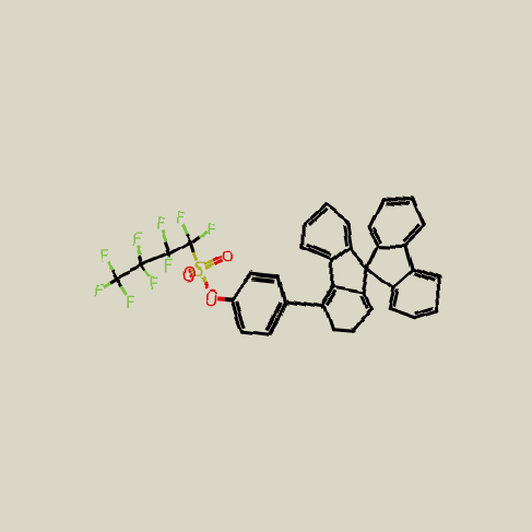 O=S(=O)(Oc1ccc(C2=C3C(=CCC2)C2(c4ccccc43)c3ccccc3-c3ccccc32)cc1)C(F)(F)C(F)(F)C(F)(F)C(F)(F)F